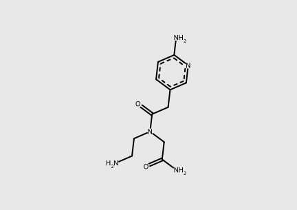 NCCN(CC(N)=O)C(=O)Cc1ccc(N)nc1